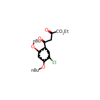 CCCCOc1cc(OCCCC)c(C(=O)CC(=O)C(=O)OCC)cc1Cl